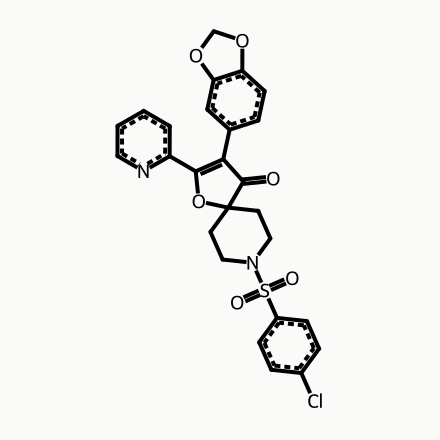 O=C1C(c2ccc3c(c2)OCO3)=C(c2ccccn2)OC12CCN(S(=O)(=O)c1ccc(Cl)cc1)CC2